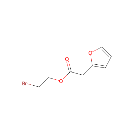 O=C(Cc1ccco1)OCCBr